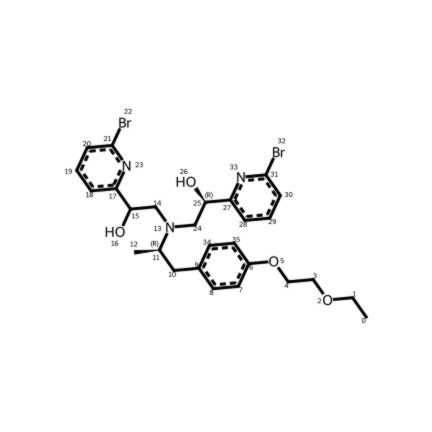 CCOCCOc1ccc(C[C@@H](C)N(CC(O)c2cccc(Br)n2)C[C@@H](O)c2cccc(Br)n2)cc1